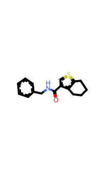 O=C(NCc1ccccc1)c1[c]sc2c1CCCC2